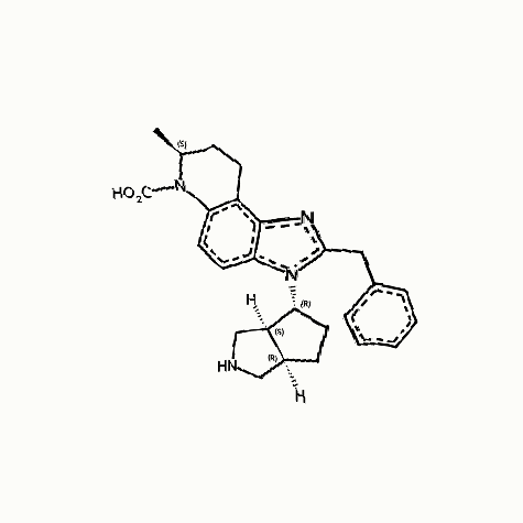 C[C@H]1CCc2c(ccc3c2nc(Cc2ccccc2)n3[C@@H]2CC[C@H]3CNC[C@H]32)N1C(=O)O